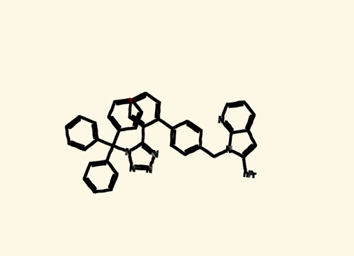 CCCc1cc2cccnc2n1Cc1ccc(-c2ccccc2-c2nnnn2C(c2ccccc2)(c2ccccc2)c2ccccc2)cc1